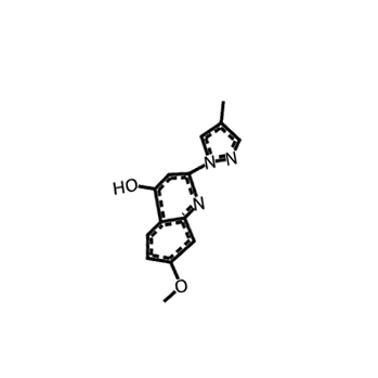 COc1ccc2c(O)cc(-n3cc(C)cn3)nc2c1